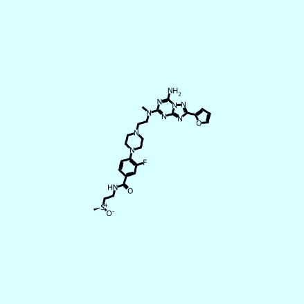 CN(CCN1CCN(c2ccc(C(=O)NCC[S@+](C)[O-])cc2F)CC1)c1nc(N)n2nc(-c3ccco3)nc2n1